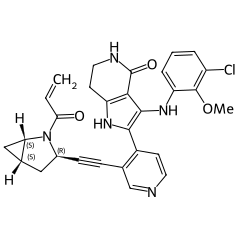 C=CC(=O)N1[C@@H](C#Cc2cnccc2-c2[nH]c3c(c2Nc2cccc(Cl)c2OC)C(=O)NCC3)C[C@@H]2C[C@@H]21